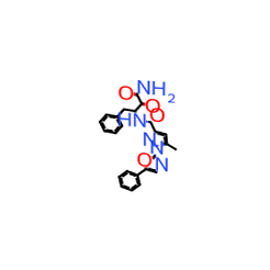 Cc1cc(C(=O)NC(Cc2ccccc2)C(=O)C(N)=O)nn1-c1ncc(-c2ccccc2)o1